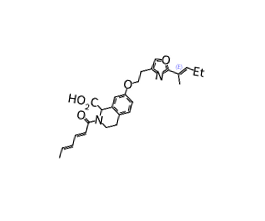 CC=CC=CC(=O)N1CCc2ccc(OCCc3coc(/C(C)=C/CC)n3)cc2C1C(=O)O